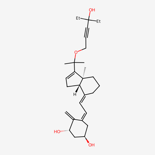 C=C1C(=CC=C2CCC[C@]3(C)C(C(C)(C)OCC#CC(O)(CC)CC)=CC[C@@H]23)C[C@@H](O)C[C@@H]1O